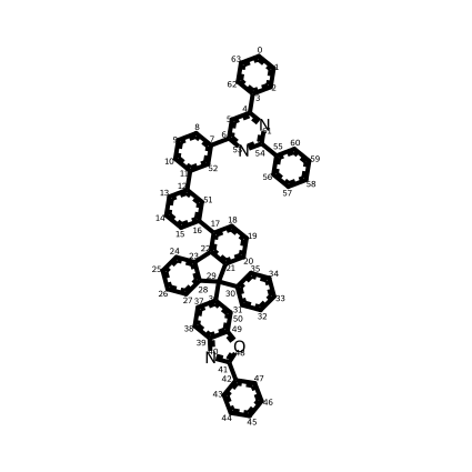 c1ccc(-c2cc(-c3cccc(-c4cccc(-c5cccc6c5-c5ccccc5C6(c5ccccc5)c5ccc6nc(-c7ccccc7)oc6c5)c4)c3)nc(-c3ccccc3)n2)cc1